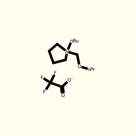 CCCC[N+]1(COCCC)CCCC1.O=C([O-])C(F)(F)F